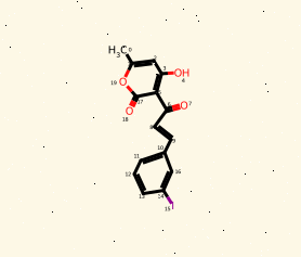 Cc1cc(O)c(C(=O)/C=C/c2cccc(I)c2)c(=O)o1